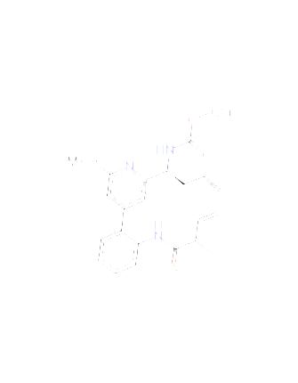 C=CC[C@H](NC(=O)OC(C)(C)C)c1cc(-c2ccccc2NC(=O)C(C)C=C)cc(OC)n1